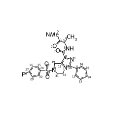 CNC(=O)C(C)NC(=O)c1nc(-c2ccccc2)n2c1CN(S(=O)(=O)c1ccc(F)cc1)CC2